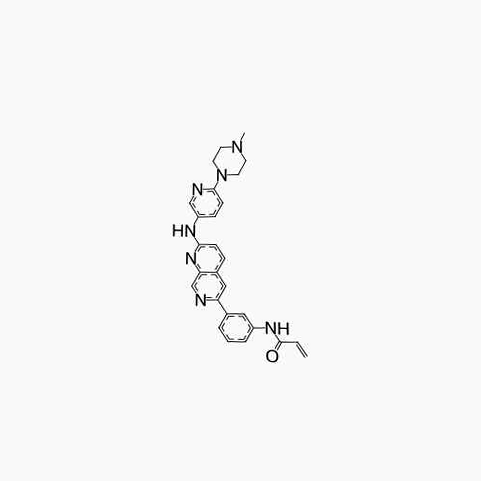 C=CC(=O)Nc1cccc(-c2cc3ccc(Nc4ccc(N5CCN(C)CC5)nc4)nc3cn2)c1